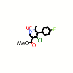 COC(=O)c1c[n+]([O-])c(C)c(-c2ccc(F)cc2)c1Cl